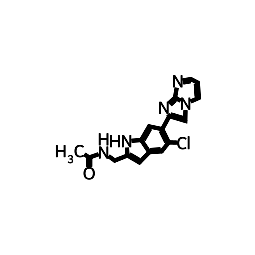 CC(=O)NCc1cc2cc(Cl)c(-c3cn4cccnc4n3)cc2[nH]1